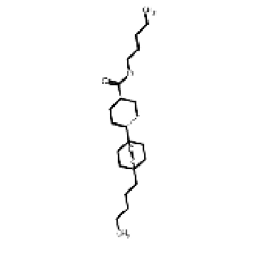 CCCCCOC(=O)[C@H]1CC[C@H](C23CCC(CCCCC)(CC2)CC3)CC1